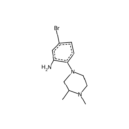 CC1CN(c2ccc(Br)cc2N)CCN1C